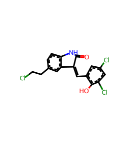 O=C1Nc2ccc(CCCl)cc2C1=Cc1cc(Cl)cc(Cl)c1O